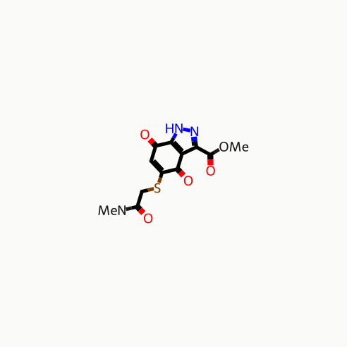 CNC(=O)CSC1=CC(=O)c2[nH]nc(C(=O)OC)c2C1=O